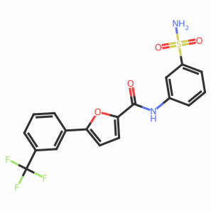 NS(=O)(=O)c1cccc(NC(=O)c2ccc(-c3cccc(C(F)(F)F)c3)o2)c1